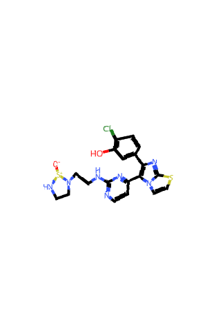 [O-][S+]1NCCN1CCNc1nccc(-c2c(-c3ccc(Cl)c(O)c3)nc3sccn23)n1